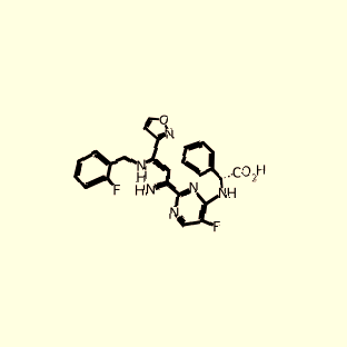 N=C(/C=C(\NCc1ccccc1F)c1ccon1)c1ncc(F)c(N[C@@H](C(=O)O)c2ccccc2)n1